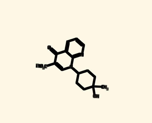 CCOC(=O)c1cn(C2CCC(C)(O)CC2)c2ncccc2c1=O